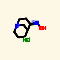 Cl.O/N=C1/CCN2CCCC1C2